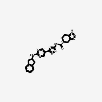 O=C(Nc1nnc(-c2cnc(NC3Cc4ccccc4C3)nc2)s1)[C@H]1CCc2[nH]nnc2C1